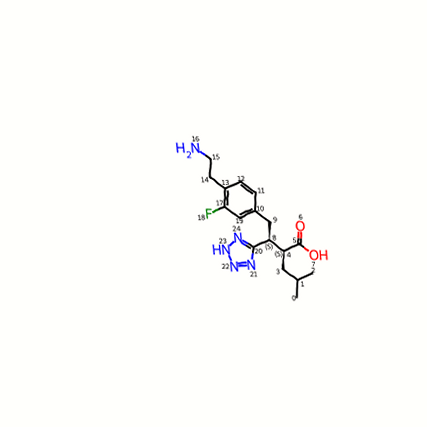 CC(C)C[C@H](C(=O)O)[C@H](Cc1ccc(CCN)c(F)c1)c1nn[nH]n1